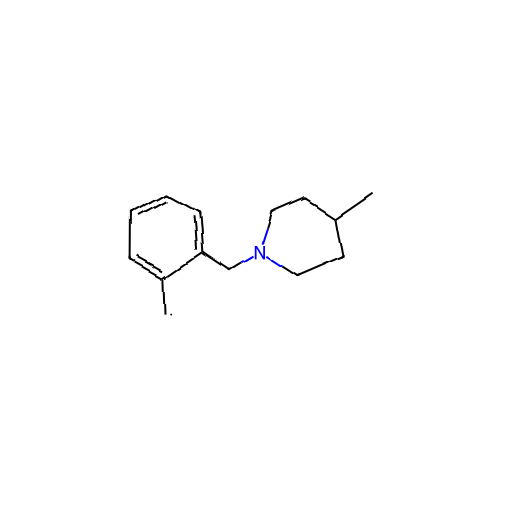 [CH2]c1ccccc1CN1CCC(C)CC1